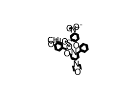 COc1ccc(COc2cc(N3CCOCC3)cc(-c3ccccc3Oc3ccc([N+](=O)[O-])cc3S(=O)O)n2)cc1